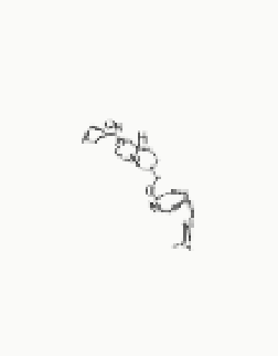 CC1CN1Cc1ccc(OC[C@@H]2CC[C@H]3CN(c4noc5ccccc45)CCN3C2)nc1